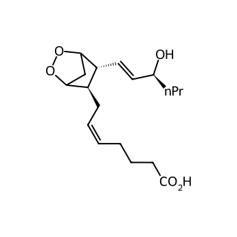 CCC[C@H](O)/C=C/[C@H]1C2CC(OO2)[C@@H]1C/C=C\CCCC(=O)O